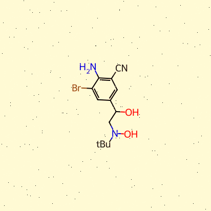 CC(C)(C)N(O)CC(O)c1cc(Br)c(N)c(C#N)c1